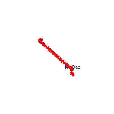 CCCCCCCCCCCC(CCCCCCCCCCC(=O)OCc1ccccc1)(NCCOCCOCCOCCOCCOCCOCCOCCOCCOCCOCCOCCOCCOCCOCCOCCOCCOCCOCCOCCOCCOCCOCCOCCOCCC(=O)ON1C(=O)CCC1=O)C(=O)OCc1ccccc1